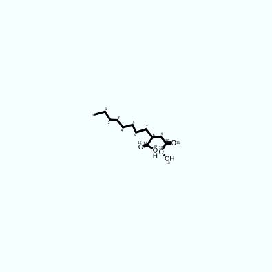 CCCCCCCCC(CC(=O)OO)C(=O)O